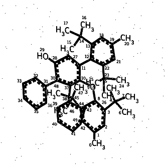 Cc1cc(C(C)(C)C)c(Oc2c(-c3c(C(C)(C)C)cc(C)cc3C(C)(C)C)cc(O)c(-c3ccccc3)c2-c2ccccc2)c(C(C)(C)C)c1